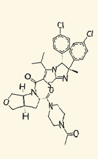 CC(=O)N1CCN(C(=O)[C@@H]2C[C@H]3COC[C@H]3N2C(=O)C2=C(C(C)C)N3C(=N[C@@](C)(c4ccc(Cl)cc4)[C@H]3c3ccc(Cl)cc3)S2)CC1